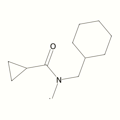 [CH2]N(CC1CCCCC1)C(=O)C1CC1